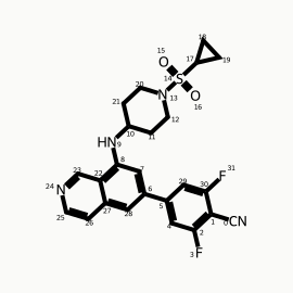 N#Cc1c(F)cc(-c2cc(NC3CCN(S(=O)(=O)C4CC4)CC3)c3cnccc3c2)cc1F